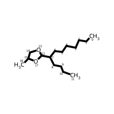 CCCCCCCC(CCCC)C1OCC(C)O1